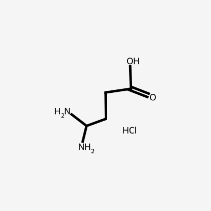 Cl.NC(N)CCC(=O)O